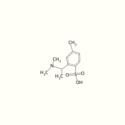 Cc1ccc(S(=O)(=O)O)c(C(C)N(C)C)c1